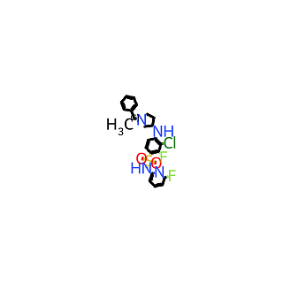 C[C@@H](c1ccccc1)N1CCC(Nc2ccc(S(=O)(=O)Nc3cccc(F)n3)c(F)c2Cl)C1